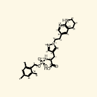 Cc1cc(C)c(COS(=O)(=O)NC(Cc2cnn(CCc3cnc4c(c3)CCCN4)c2)C(=O)O)c(C)c1